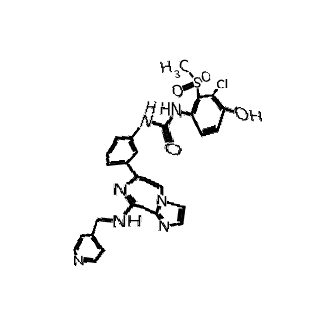 CS(=O)(=O)c1c(NC(=O)Nc2cccc(-c3cn4ccnc4c(NCc4ccncc4)n3)c2)ccc(O)c1Cl